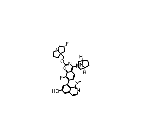 CSc1nccc2cc(O)cc(-c3ccc4c(N5C[C@H]6CC[C@@H](C5)N6)nc(OC[C@@]56CCCN5C[C@H](F)C6)nc4c3F)c12